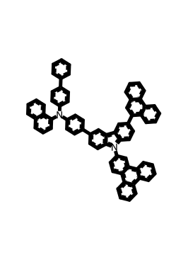 c1ccc(-c2ccc(N(c3ccc(-c4ccc5c(c4)c4cc(-c6cc7ccccc7c7ccccc67)ccc4n5-c4ccc5c6ccccc6c6ccccc6c5c4)cc3)c3cccc4ccccc34)cc2)cc1